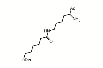 CCCCCCCCCCCCCCCC(=O)NCCCCC(N)C(C)=O